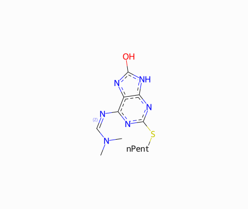 CCCCCSc1nc(/N=C\N(C)C)c2nc(O)[nH]c2n1